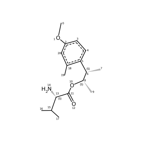 COc1ccc([C@H](C)[C@H](C)OC(=O)[C@@H](N)C(C)C)c(C)c1